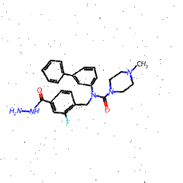 CN1CCN(C(=O)N(Cc2ccc(C(=O)NN)cc2F)c2cccc(-c3ccccc3)c2)CC1